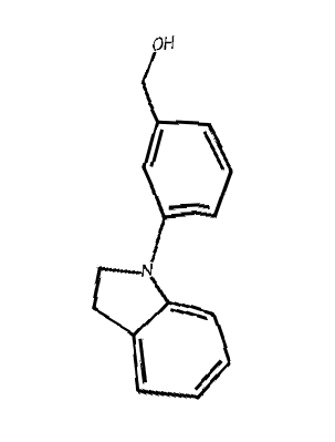 OCc1cccc(N2CCc3ccccc32)c1